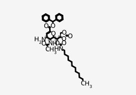 CCCCCCCCCCCCNC(=O)O[C@@H]([C@@H]1OC(C(=O)OC(c2ccccc2)c2ccccc2)=C[C@H](N)[C@H]1NC(C)=O)[C@H]1COC(=O)O1